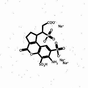 Nc1c(S(=O)(=O)[O-])cc2c3c(c(=O)oc2c1S(=O)(=O)O)CCC3C(CC(=O)[O-])S(=O)(=O)[O-].[Na+].[Na+].[Na+]